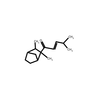 CC(C)C=CC(=O)C1(C)C2CCC(C2)C1C